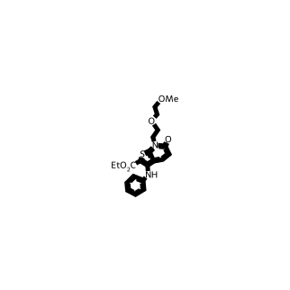 CCOC(=O)c1sc2c(ccc(=O)n2CCOCCOC)c1Nc1ccccc1